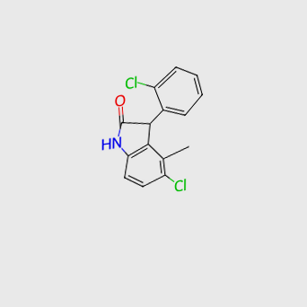 Cc1c(Cl)ccc2c1C(c1ccccc1Cl)C(=O)N2